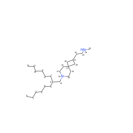 CCCCCCC(CCCCCC)CN1CCC2(CC1)CC(CCNC)C2